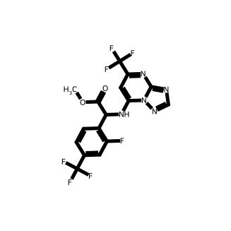 COC(=O)C(Nc1cc(C(F)(F)F)nc2ncnn12)c1ccc(C(F)(F)F)cc1F